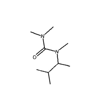 CC(C)C(C)N(C)C(=O)N(C)C